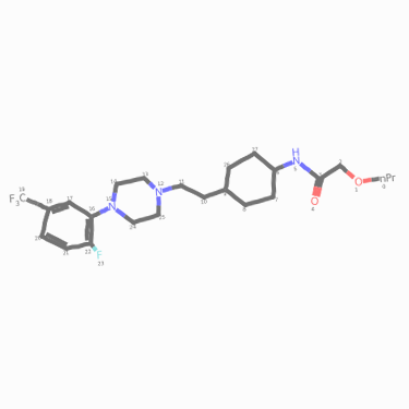 CCCOCC(=O)NC1CCC(CCN2CCN(c3cc(C(F)(F)F)ccc3F)CC2)CC1